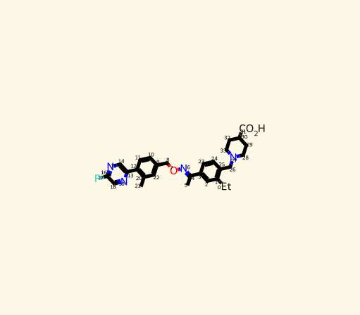 CCc1cc(/C(C)=N/OCc2ccc(-c3cnc(F)cn3)c(C)c2)ccc1CN1CCC(C(=O)O)CC1